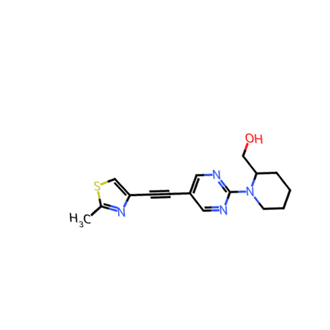 Cc1nc(C#Cc2cnc(N3CCCCC3CO)nc2)cs1